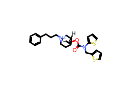 O=C(O[C@H]1C[N+]2(CCCc3ccccc3)CCC1CC2)N(Cc1cccs1)c1cccs1